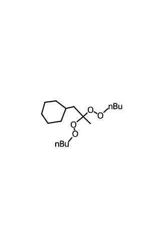 CCCCOOC(C)(CC1CCCCC1)OOCCCC